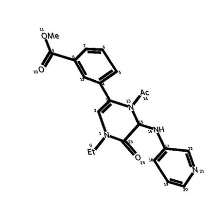 CCN1C=C(c2cccc(C(=O)OC)c2)N(C(C)=O)C(Nc2cccnc2)C1=O